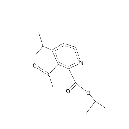 CC(=O)c1c(C(C)C)ccnc1C(=O)OC(C)C